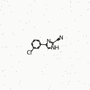 N#Cc1nc(-c2cccc(Cl)c2)c[nH]1